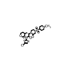 CN1CCC(S(=O)(=O)N2CCN([C@@H](CC3CCOCC3)C(=O)Nc3ncc(Cl)s3)C(=O)C2)CC1